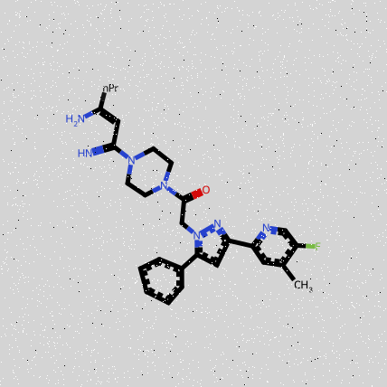 CCC/C(N)=C/C(=N)N1CCN(C(=O)Cn2nc(-c3cc(C)c(F)cn3)cc2-c2ccccc2)CC1